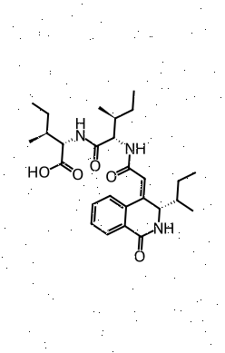 CCC(C)[C@@H]1NC(=O)c2ccccc2C1=CC(=O)N[C@H](C(=O)N[C@H](C(=O)O)[C@@H](C)CC)[C@@H](C)CC